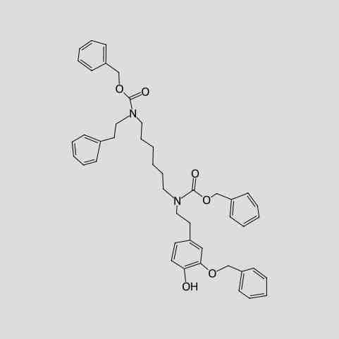 O=C(OCc1ccccc1)N(CCCCCCN(CCc1ccc(O)c(OCc2ccccc2)c1)C(=O)OCc1ccccc1)CCc1ccccc1